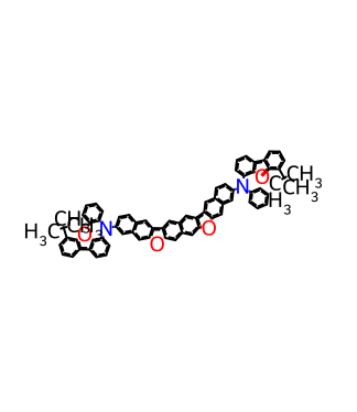 CC(C)(C)c1cccc2c1oc1c(N(c3ccccc3)c3ccc4cc5c(cc4c3)oc3cc4cc6oc7cc8cc(N(c9ccccc9)c9cccc%10c9oc9c(C(C)(C)C)cccc9%10)ccc8cc7c6cc4cc35)cccc12